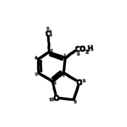 O=C(O)c1c(Cl)ccc2c1OCO2